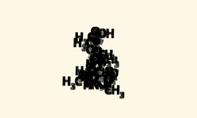 CC(C)[C@@H]1CC[C@]2(NCC[C@H](C)N3CCS(=O)(=O)CC3)CC[C@]3(C)[C@H](CC[C@@H]4[C@@]5(C)CC[C@H](OC(=O)[C@H]6C[C@@H](C(=O)O)C6(C)C)C(C)(C)[C@@H]5CC[C@]43C)[C@@H]12